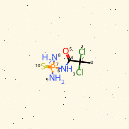 CC(Cl)(Cl)C(=O)NP(N)(N)=S